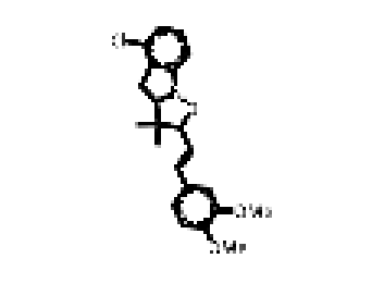 COc1ccc(C=CC2ON3c4cccc(Cl)c4CC3C2(C)C)cc1OC